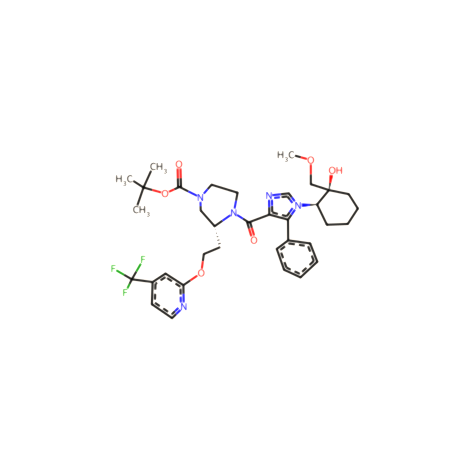 COC[C@]1(O)CCCC[C@H]1n1cnc(C(=O)N2CCN(C(=O)OC(C)(C)C)C[C@H]2CCOc2cc(C(F)(F)F)ccn2)c1-c1ccccc1